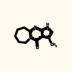 Cc1c[nH]c2nc3n(c(=O)c12)CCCCC3